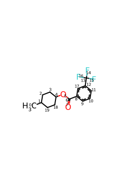 CC1CCC(OC(=O)c2cccc(C(F)(F)F)c2)CC1